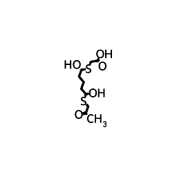 CC(=O)CSC(O)CCCC(O)SCC(=O)O